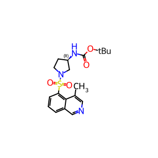 Cc1cncc2cccc(S(=O)(=O)N3CC[C@@H](NC(=O)OC(C)(C)C)C3)c12